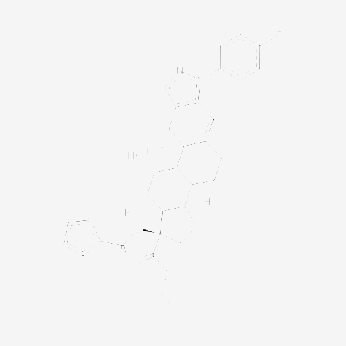 C[C@]12Cc3cnn(-c4ccc(F)cc4)c3C=C1CC[C@@H]1C2[C@@H](O)C[C@@]2(C)C1CC[C@]2(OC(=O)c1ccco1)C(=O)SCF